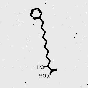 C=C(C(=O)O)C(O)CCCCCCCCCc1ccccc1